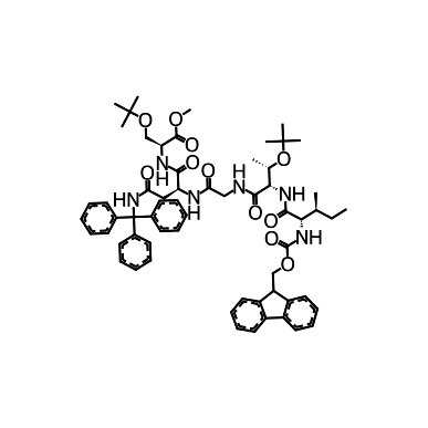 CC[C@H](C)[C@H](NC(=O)OCC1c2ccccc2-c2ccccc21)C(=O)N[C@H](C(=O)NCC(=O)N[C@@H](CC(=O)NC(c1ccccc1)(c1ccccc1)c1ccccc1)C(=O)N[C@@H](COC(C)(C)C)C(=O)OC)[C@H](C)OC(C)(C)C